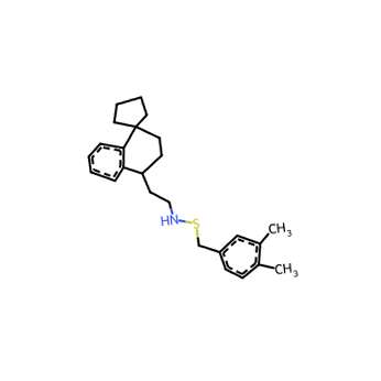 Cc1ccc(CSNCCC2CCC3(CCCC3)c3ccccc32)cc1C